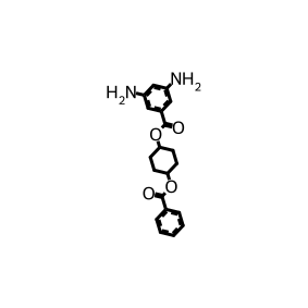 Nc1cc(N)cc(C(=O)OC2CCC(OC(=O)c3ccccc3)CC2)c1